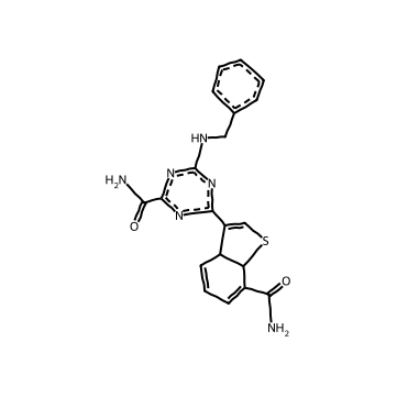 NC(=O)C1=CC=CC2C(c3nc(NCc4ccccc4)nc(C(N)=O)n3)=CSC12